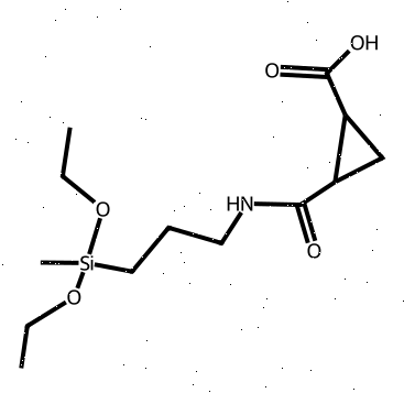 CCO[Si](C)(CCCNC(=O)C1CC1C(=O)O)OCC